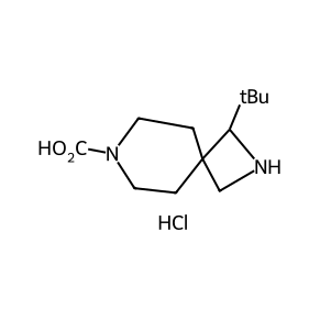 CC(C)(C)C1NCC12CCN(C(=O)O)CC2.Cl